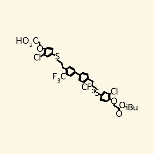 CCC(C)OC(=O)COc1ccc(SCCCc2ccc(-c3ccc(CCCSc4ccc(OCC(=O)O)c(Cl)c4)c(C(F)(F)F)c3)cc2C(F)(F)F)cc1Cl